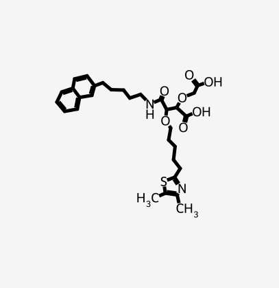 Cc1nc(CCCCCOC(C(=O)NCCCCCc2ccc3ccccc3c2)C(OCC(=O)O)C(=O)O)sc1C